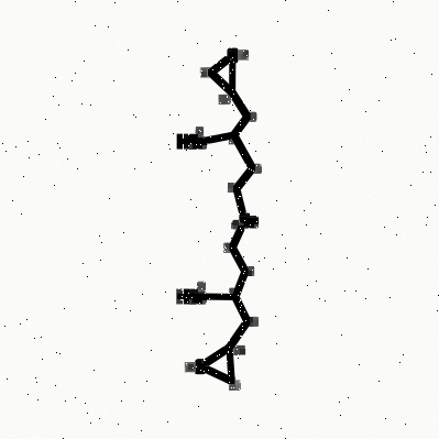 [SeH]C(CC[Se]CCC([SeH])CC1CS1)CC1CS1